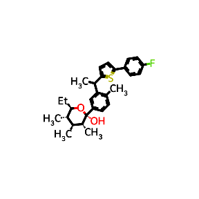 CC[C@H]1O[C@@](O)(c2ccc(C)c(C(C)c3ccc(-c4ccc(F)cc4)s3)c2)[C@H](C)[C@@H](C)[C@@H]1C